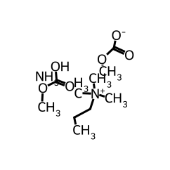 CCC[N+](C)(C)C.COC(=O)O.COC(=O)[O-].N